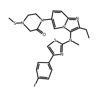 CCc1nc2ccc(N3CCN(SC)CC3=O)cn2c1N(C)c1nc(-c2ccc(F)cc2)cs1